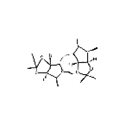 CC1[C@@H](C)[C@H]2OC(C)(C)O[C@@H]2[C@@H]1C[C@H]1[C@H]2OC(C)(C)O[C@@H]2[C@H](C)P1C